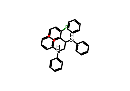 Fc1ccccc1C(C[SiH](c1ccccc1)c1ccccc1)[SiH](c1ccccc1)c1ccccc1